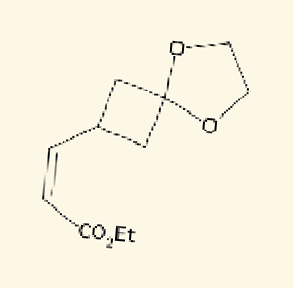 CCOC(=O)/C=C\C1CC2(C1)OCCO2